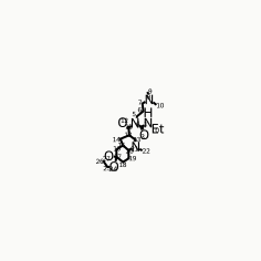 CCNC(=O)N(CCCN(C)C)C(=O)C1CC2CC3(CCC2N(C)C1)OCCO3